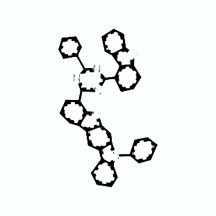 c1ccc(-c2nc(-c3cccc4c3oc3cc5c(cc34)c3ccccc3n5-c3ccccc3)nc(-c3cccc4oc5ccccc5c34)n2)cc1